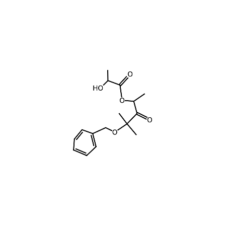 CC(O)C(=O)OC(C)C(=O)C(C)(C)OCc1ccccc1